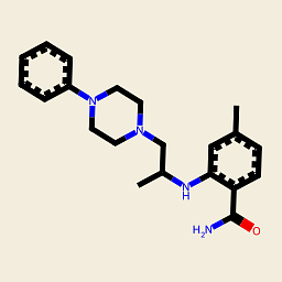 Cc1ccc(C(N)=O)c(NC(C)CN2CCN(c3ccccc3)CC2)c1